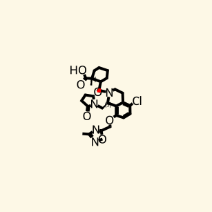 Cc1noc(COc2ccc(Cl)c3c2[C@@H](CN2CCCC2=O)N(C(=O)C2CCCC[C@@]2(C)C(=O)O)CC3)n1